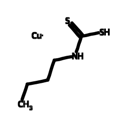 CCCCNC(=S)S.[Cu]